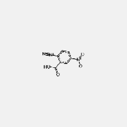 N#[N+]c1ccc([N+](=O)[O-])cc1C(=O)O